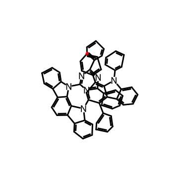 c1ccc(-c2nc(-c3ccccc3)nc(-n3c4ccccc4c4ccc5c6ccccc6n(-c6cc(-c7ccccc7)c7c(c6-c6ccccc6)c6ccccc6n7-c6ccccc6)c5c43)n2)cc1